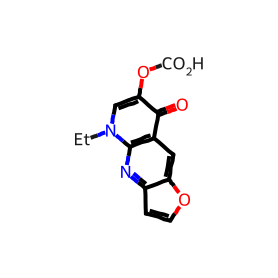 CCn1cc(OC(=O)O)c(=O)c2cc3occc3nc21